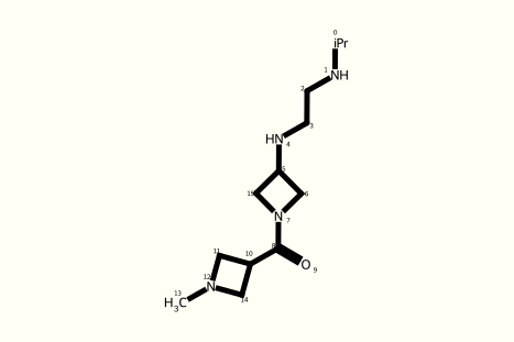 CC(C)NCCNC1CN(C(=O)C2CN(C)C2)C1